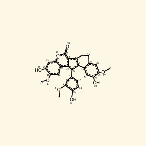 COc1cc(-c2c3n(c4c(=O)oc5cc(O)c(OC)cc5c24)CCc2cc(OC)c(O)cc2-3)ccc1O